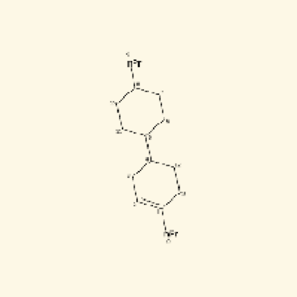 CCCC1=CCC(C2CCC(CCC)CC2)CC1